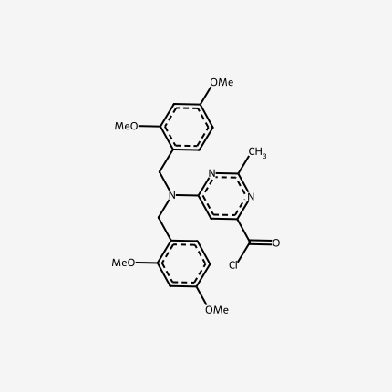 COc1ccc(CN(Cc2ccc(OC)cc2OC)c2cc(C(=O)Cl)nc(C)n2)c(OC)c1